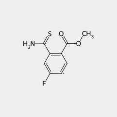 COC(=O)c1c[c]c(F)cc1C(N)=S